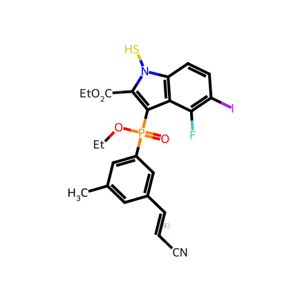 CCOC(=O)c1c(P(=O)(OCC)c2cc(C)cc(/C=C/C#N)c2)c2c(F)c(I)ccc2n1S